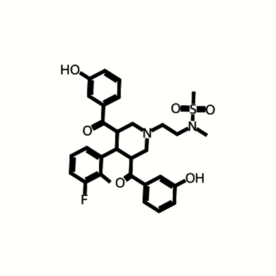 Cc1c(F)cccc1C1C(C(=O)c2cccc(O)c2)CN(CCN(C)S(C)(=O)=O)CC1C(=O)c1cccc(O)c1